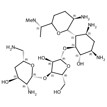 CN[C@@H](C)C1CC[C@@H](N)C([C@H]2[C@H](O[C@@H]3O[C@H](CO)[C@@H](O[C@H]4O[C@@H](CN)C[C@H](O)[C@H]4N)[C@H]3O)[C@@H](O)[C@H](N)C[C@@H]2N)O1